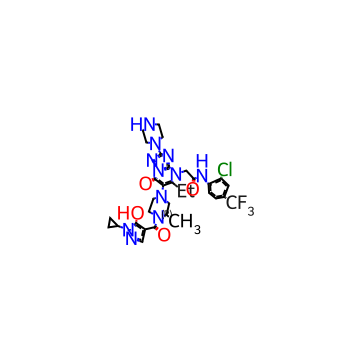 CCc1c(N2CCN(C(=O)c3cnn(C4CC4)c3O)[C@H](C)C2)c(=O)n2nc(N3CCNCC3)nc2n1CC(=O)Nc1ccc(C(F)(F)F)cc1Cl